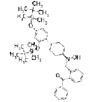 CC(C)(C)[Si](C)(C)Oc1ccc([C@H]2CC[C@H](N(O)Cc3ccccc3C(=O)c3ccccc3)CC2)c(O[Si](C)(C)C(C)(C)C)c1